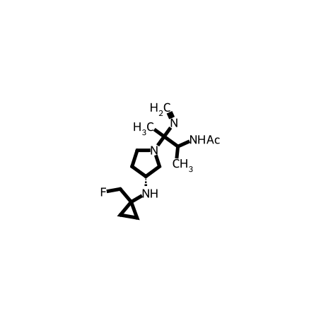 C=NC(C)(C(C)NC(C)=O)N1CC[C@@H](NC2(CF)CC2)C1